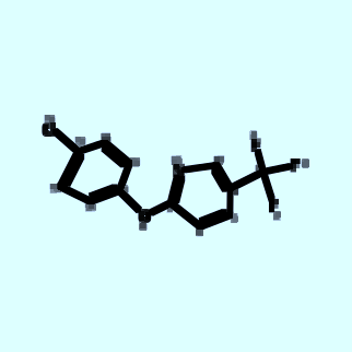 FC(F)(F)c1ccc(Oc2ccc(Cl)cc2)nc1